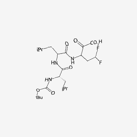 CC(C)CC(NC(=O)[C@H](CC(C)C)NC(=O)OC(C)(C)C)C(=O)NC(CC(F)F)C(=O)C(=O)O